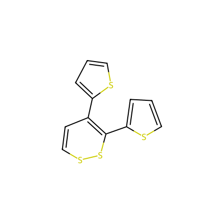 C1=CC(c2cccs2)=C(c2cccs2)SS1